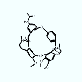 COc1cc2c3cc1Oc1c(OC)c(OC)cc4c1[C@H](Cc1ccc(cc1)Oc1cc(cc(NC(C)=O)c1)C[C@H]3N(C)CC2)N(C)CC4